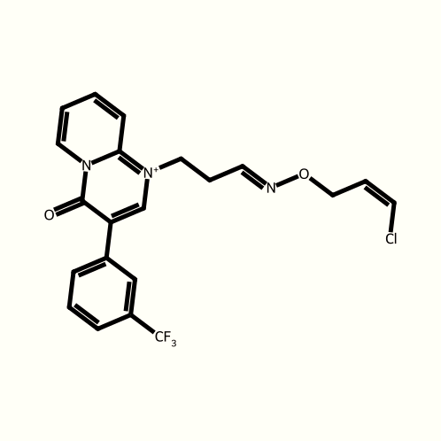 O=c1c(-c2cccc(C(F)(F)F)c2)c[n+](CCC=NOC/C=C\Cl)c2ccccn12